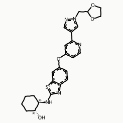 O[C@@H]1CCCC[C@H]1Nc1nc2ccc(Oc3ccnc(-c4cnn(CC5OCCO5)c4)c3)cc2s1